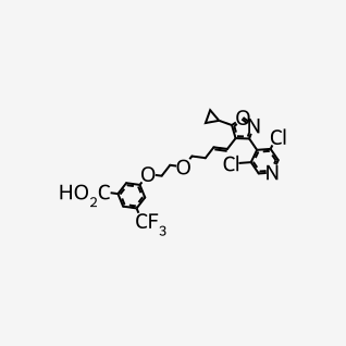 O=C(O)c1cc(OCCOCC/C=C/c2c(-c3c(Cl)cncc3Cl)noc2C2CC2)cc(C(F)(F)F)c1